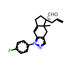 C=CC[C@]1(C=O)CCC2=Cc3c(cnn3-c3ccc(F)cc3)CC21C